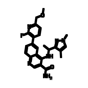 COCc1ccc(-c2ccc3ncc(C(N)=O)c(NC(C)c4nn(C)cc4C)c3c2)c(F)n1